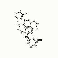 Cc1cccc(F)c1C(=O)N1CCC[C@H](C(=O)Nc2cccc(C(C)(C)C)c2)[C@@H]1C1CCCCC1